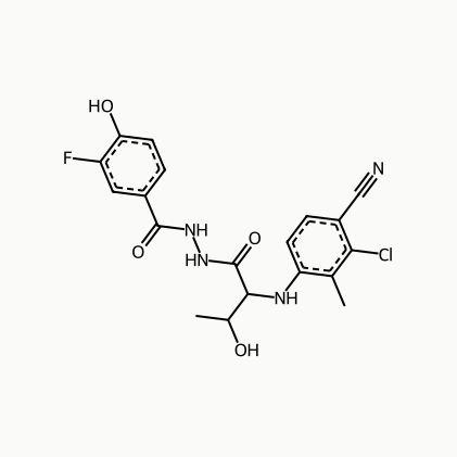 Cc1c(NC(C(=O)NNC(=O)c2ccc(O)c(F)c2)C(C)O)ccc(C#N)c1Cl